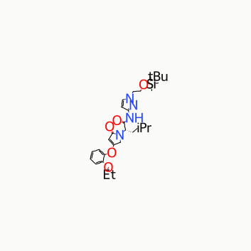 CCOc1ccccc1OC1=CC(=O)N([C@@H](CC(C)C)C(=O)Nc2ccn(CCO[Si](C)(C)C(C)(C)C)n2)C1